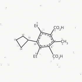 CCc1c(C(=O)O)c(C)c(C(=O)O)c(CC)c1C1CCC1